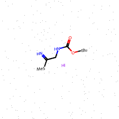 CSC(=N)CNC(=O)OC(C)(C)C.I